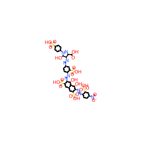 O=C(O)C1=NN(c2ccc(S(=O)(=O)O)cc2)C(O)C1N=Nc1ccc(N=Nc2c(S(=O)(=O)O)cc3cc(S(=O)(=O)O)c(N=Nc4ccc([N+](=O)[O-])cc4S(=O)(=O)O)c(O)c3c2O)c(S(=O)(=O)O)c1